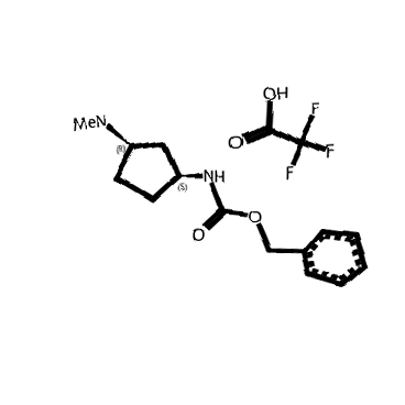 CN[C@@H]1CC[C@H](NC(=O)OCc2ccccc2)C1.O=C(O)C(F)(F)F